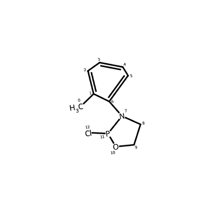 Cc1ccccc1N1CCOP1Cl